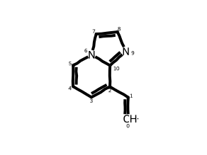 [CH]=Cc1cccn2ccnc12